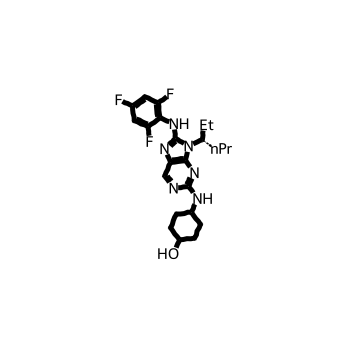 CCC[C@@H](CC)n1c(Nc2c(F)cc(F)cc2F)nc2cnc(NC3CCC(O)CC3)nc21